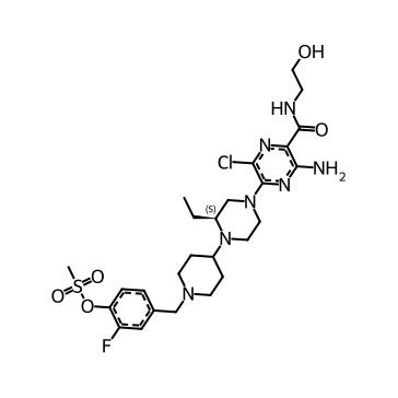 CC[C@H]1CN(c2nc(N)c(C(=O)NCCO)nc2Cl)CCN1C1CCN(Cc2ccc(OS(C)(=O)=O)c(F)c2)CC1